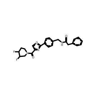 O=C(Cc1ccccc1)NCc1ccc(-c2nc(C(=O)N3CCC(F)C(F)C3)co2)cc1